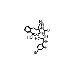 CCC1(CCc2ccccc2C(=O)O)NC(=O)N(NC(O)Nc2ccc(Br)cc2F)C1=O